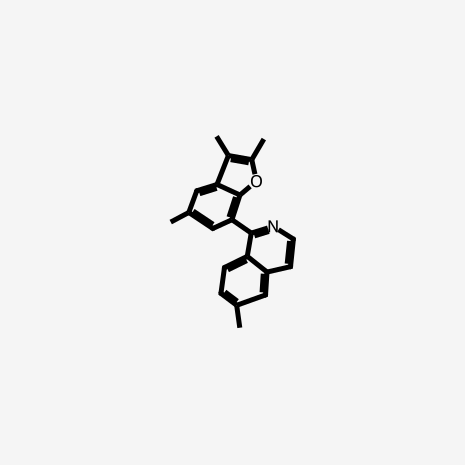 Cc1ccc2c(-c3cc(C)cc4c(C)c(C)oc34)nccc2c1